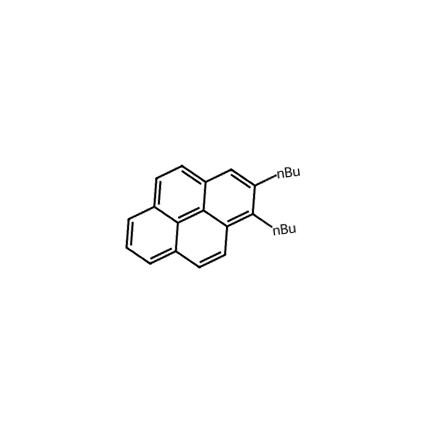 CCCCc1cc2ccc3cccc4ccc(c1CCCC)c2c34